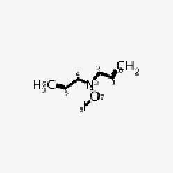 C=CCN(CC=C)OI